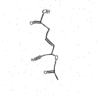 CC(=O)OC(C#N)C=CCC(=O)O